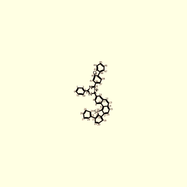 c1ccc(-c2nc(-c3ccc4c(ccc5ccc6c7cccc(-c8ccccc8)c7[se]c6c54)c3)nc(-c3ccc4c(c3)oc3ccccc34)n2)cc1